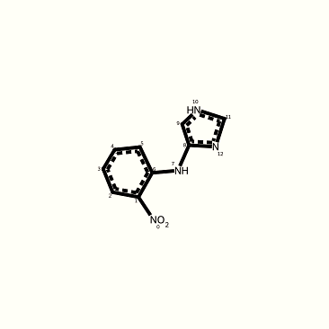 O=[N+]([O-])c1ccccc1Nc1c[nH]cn1